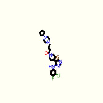 O=C(/C=C/CN1CCN(C2CCCC2)CC1)N1CCc2c(sc3ncnc(Nc4ccc(F)c(Cl)c4)c23)C1